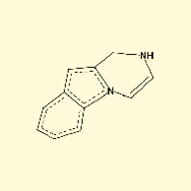 C1=Cn2c(cc3ccccc32)CN1